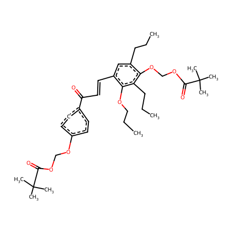 CCCOc1c(/C=C/C(=O)c2ccc(OCOC(=O)C(C)(C)C)cc2)cc(CCC)c(OCOC(=O)C(C)(C)C)c1CCC